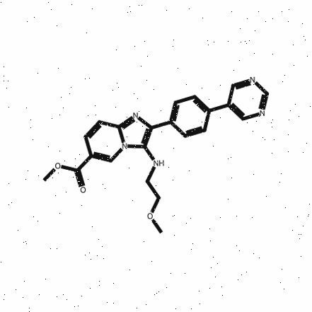 COCCNc1c(-c2ccc(-c3cncnc3)cc2)nc2ccc(C(=O)OC)cn12